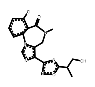 CC(CO)c1nc(-c2ncn3c2CN(C)C(=O)c2c(Cl)cccc2-3)no1